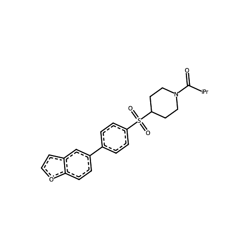 CC(C)C(=O)N1CCC(S(=O)(=O)c2ccc(-c3ccc4occc4c3)cc2)CC1